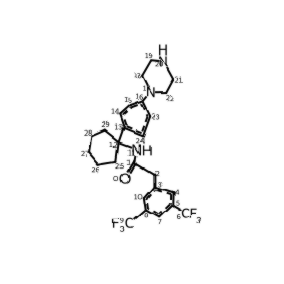 O=C(Cc1cc(C(F)(F)F)cc(C(F)(F)F)c1)NC1(c2ccc(N3CCNCC3)cc2)CCCCC1